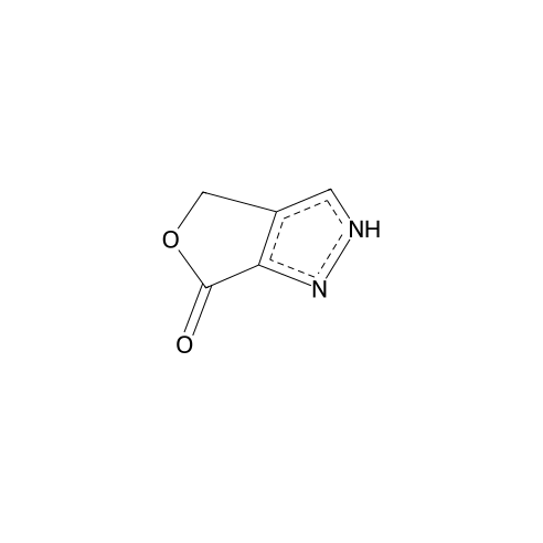 O=C1OCc2c[nH]nc21